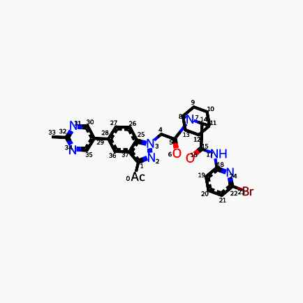 CC(=O)c1nn(CC(=O)N2C3CCC(CC3)C2C(=O)Nc2cccc(Br)n2)c2ccc(-c3cnc(C)nc3)cc12